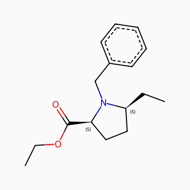 CCOC(=O)[C@@H]1CC[C@H](CC)N1Cc1ccccc1